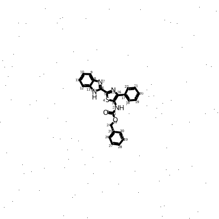 O=C(Nc1sc(-c2nc3ccccc3[nH]2)nc1-c1ccccc1)OCc1ccccc1